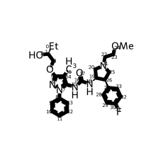 CC[C@@H](O)COc1nn(-c2ccccc2)c(NC(=O)N[C@@H]2CN(CCOC)C[C@H]2c2ccc(F)cc2)c1C